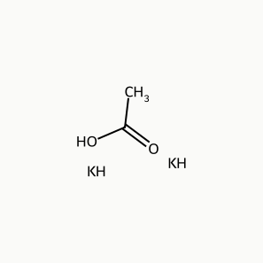 CC(=O)O.[KH].[KH]